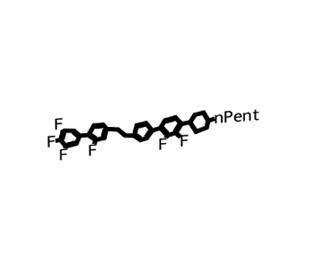 CCCCCC1CCC(c2ccc(-c3ccc(CCc4ccc(-c5cc(F)c(F)c(F)c5)c(F)c4)cc3)c(F)c2F)CC1